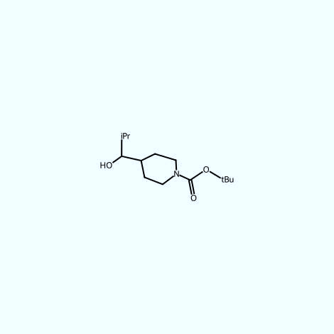 CC(C)C(O)C1CCN(C(=O)OC(C)(C)C)CC1